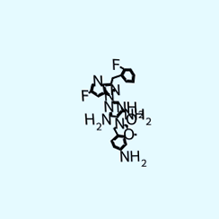 C=C(/N=C(/N)C(=C(N)N)N(Cc1ccc(N)cc1)C(=O)OC)n1nc(Cc2ccccc2F)c2ncc(F)cc21